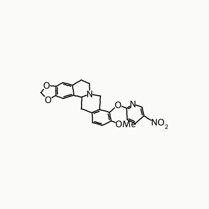 COc1ccc2c(c1Oc1ccc([N+](=O)[O-])cn1)CN1CCc3cc4c(cc3C1C2)OCO4